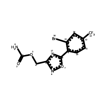 NC(=O)OCc1noc(-c2ccc(C(F)(F)F)cc2Br)n1